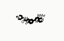 CNc1cc(-c2ccc3c(c2)cc(C(=O)NC2CCN(C)CC2)n3C)nc2ccncc12